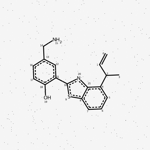 C=CC(C)c1cccc2sc(-c3cc(CN)ccc3O)nc12